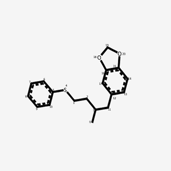 CC(CCSc1ccccc1)Cc1ccc2c(c1)OCO2